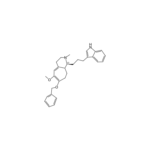 COC1=C(OCc2ccccc2)CCC2C(=C1)CCN(C)[C@H]2CCCc1c[nH]c2ccccc12